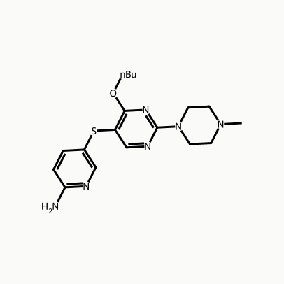 CCCCOc1nc(N2CCN(C)CC2)ncc1Sc1ccc(N)nc1